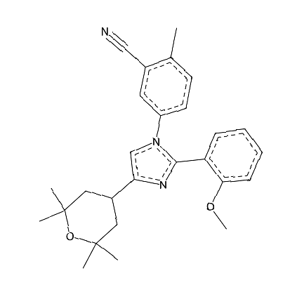 COc1ccccc1-c1nc(C2CC(C)(C)OC(C)(C)C2)cn1-c1ccc(C)c(C#N)c1